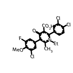 CCn1c(C)c(-c2cc(F)c(OC)c(Cl)c2)c(=O)c(C(=O)O)c1-c1ccc(Cl)c(Cl)c1